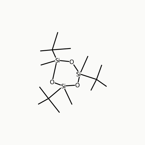 CC(C)(C)[Si]1(C)O[Si](C)(C(C)(C)C)O[Si](C)(C(C)(C)C)O1